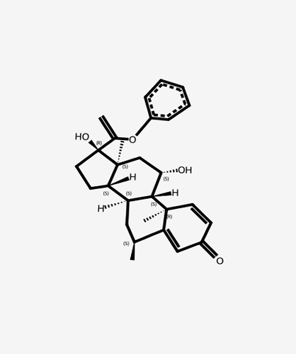 C=C(Oc1ccccc1)[C@@]1(O)CC[C@H]2[C@@H]3C[C@H](C)C4=CC(=O)C=C[C@]4(C)[C@H]3[C@@H](O)C[C@@]21C